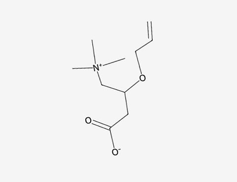 C=CCOC(CC(=O)[O-])C[N+](C)(C)C